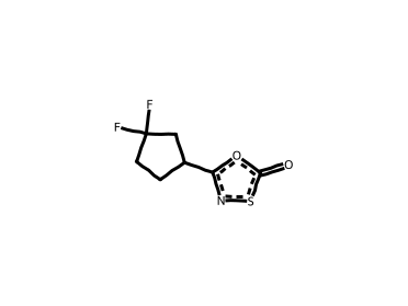 O=c1oc(C2CCC(F)(F)C2)ns1